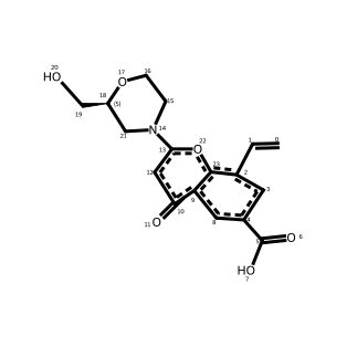 C=Cc1cc(C(=O)O)cc2c(=O)cc(N3CCO[C@H](CO)C3)oc12